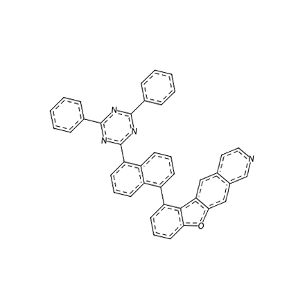 c1ccc(-c2nc(-c3ccccc3)nc(-c3cccc4c(-c5cccc6oc7cc8cnccc8cc7c56)cccc34)n2)cc1